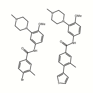 COc1ccc(NC(=O)c2ccc(-c3ccsc3)c(C)c2)cc1N1CCN(C)CC1.COc1ccc(NC(=O)c2ccc(Br)c(C)c2)cc1N1CCN(C)CC1